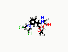 CB(O)NCC(C)(CC(=O)OC(C)(C)C)c1cc(N(CCCl)CCCl)ccc1C